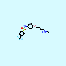 CCNCCCCOC1CCC(N(C)S(=O)(=O)c2ccc(C(F)(F)F)cc2)CC1